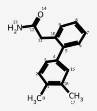 Cc1ccc(-c2ccccc2CC(N)=O)cc1C